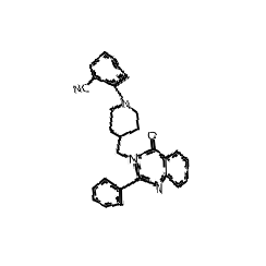 N#Cc1ccccc1N1CCC(Cn2c(-c3ccccc3)nc3ccccc3c2=O)CC1